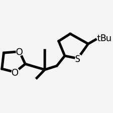 CC(C)(C)C1CCC(CC(C)(C)C2OCCO2)S1